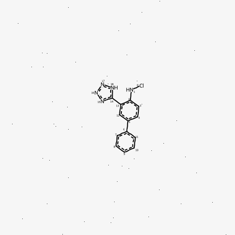 ClNc1ccc(-c2ccccc2)cc1-c1nnn[nH]1